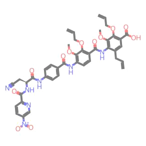 C=CCOc1c(C(=O)Nc2c(CC=C)cc(C(=O)O)c(OCC=C)c2OC)ccc(NC(=O)c2ccc(NC(=O)[C@H](CC#N)NC(=O)c3ccc([N+](=O)[O-])cn3)cc2)c1OC